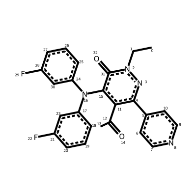 CCn1nc(-c2ccncc2)c(C(C)=O)c(N(c2cccc(F)c2)c2cccc(F)c2)c1=O